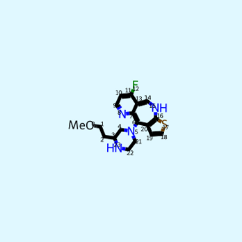 COCCC1CN(C2=c3nccc(F)c3=CNc3sccc32)CCN1